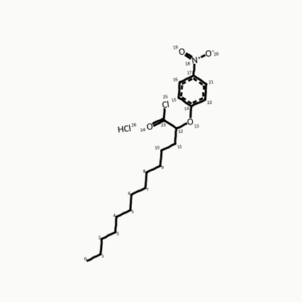 CCCCCCCCCCCCC(Oc1ccc([N+](=O)[O-])cc1)C(=O)Cl.Cl